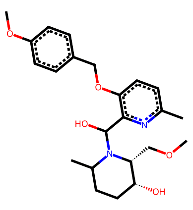 COC[C@@H]1[C@H](O)CCC(C)N1C(O)c1nc(C)ccc1OCc1ccc(OC)cc1